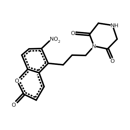 O=C1CNCC(=O)N1CCCc1c([N+](=O)[O-])ccc2oc(=O)ccc12